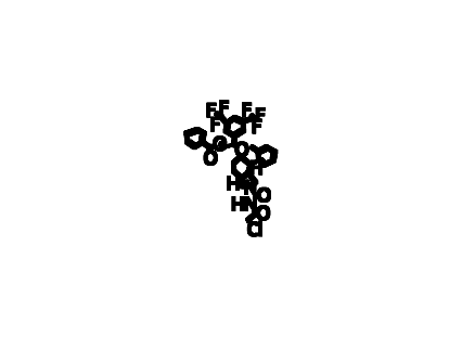 Cc1ccccc1[C@H]1[C@H]2CN(C(=O)NC(=O)CCl)C[C@H]2CC[C@@H]1O[C@@H](COC(=O)c1ccccc1)c1cc(C(F)(F)F)cc(C(F)(F)F)c1